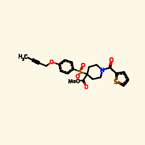 CC#CCOc1ccc(S(=O)(=O)C2(C(=O)OC)CCN(C(=O)c3cccs3)CC2)cc1